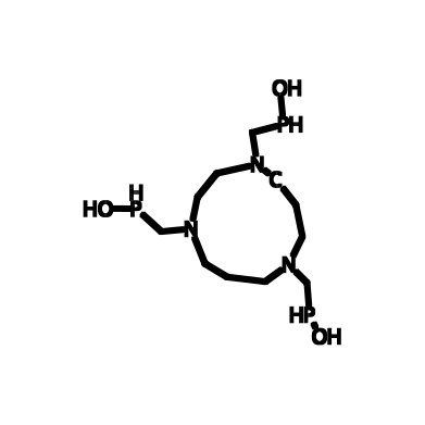 OPCN1CCCN(CPO)CCN(CPO)CCC1